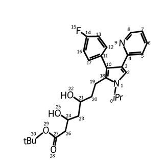 CC(C)n1cc(-c2ccccn2)c(-c2ccc(F)cc2)c1CCC(O)CC(O)CC(=O)OC(C)(C)C